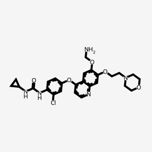 NCOc1cc2c(Oc3ccc(NC(=O)NC4CC4)c(Cl)c3)ccnc2cc1OCCN1CCOCC1